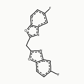 Fc1ccc2oc(Cc3nc4cc(F)ccc4o3)nc2c1